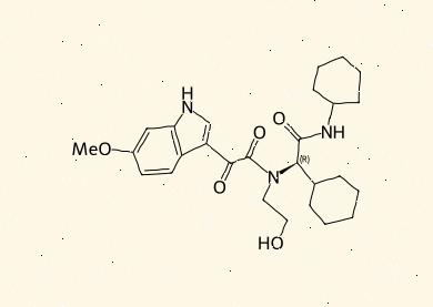 COc1ccc2c(C(=O)C(=O)N(CCO)[C@@H](C(=O)NC3CCCCC3)C3CCCCC3)c[nH]c2c1